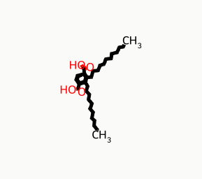 CCCCCCCCCCCCc1c(C(=O)O)ccc(C(=O)O)c1CCCCCCCCCCCC